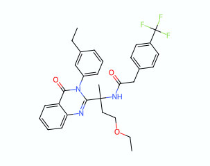 CCOCCC(C)(NC(=O)Cc1ccc(C(F)(F)F)cc1)c1nc2ccccc2c(=O)n1-c1cccc(CC)c1